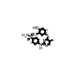 Cc1cnc(Nc2ccc(S(N)(=O)=O)cc2)nc1Sc1ccc(O)c(Cl)c1